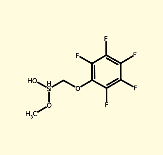 CO[SiH](O)COc1c(F)c(F)c(F)c(F)c1F